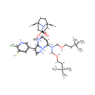 CC(C)(C)OC(=O)N1[C@@H]2CC[C@H]1C[C@@H](c1cc(N(COCC[Si](C)(C)C)COCC[Si](C)(C)C)n3ncc(-c4cnc(Cl)c(F)c4)c3n1)C2